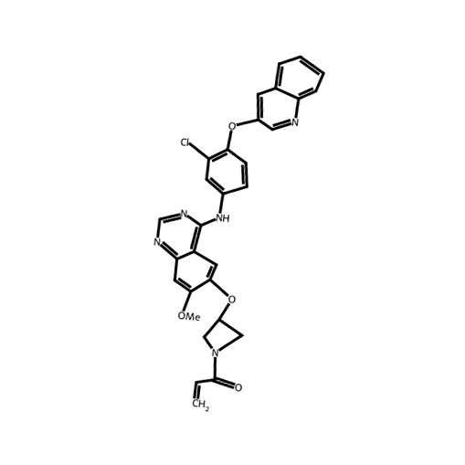 C=CC(=O)N1CC(Oc2cc3c(Nc4ccc(Oc5cnc6ccccc6c5)c(Cl)c4)ncnc3cc2OC)C1